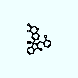 O=C1COc2ccc(C3(O)c4ccccc4C(=O)N3Cc3ccccc3Cl)cc2N1